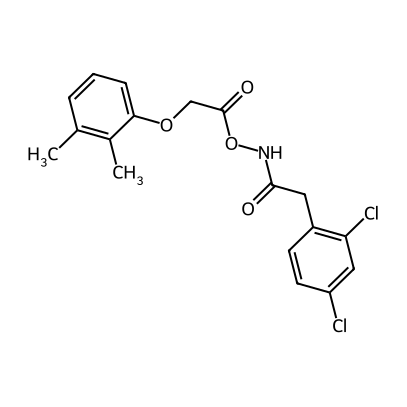 Cc1cccc(OCC(=O)ONC(=O)Cc2ccc(Cl)cc2Cl)c1C